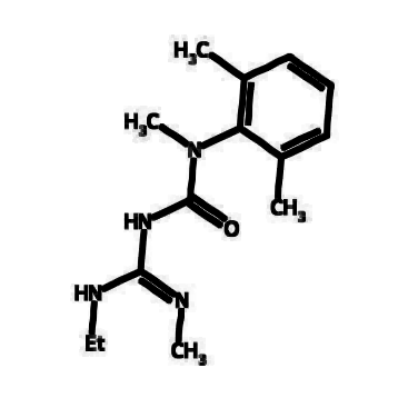 CCNC(=NC)NC(=O)N(C)c1c(C)cccc1C